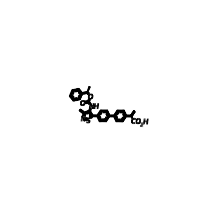 Cc1nsc(-c2ccc(-c3ccc([C@@H](C)C(=O)O)cc3)cc2)c1NC(=O)O[C@H](C)c1ccccc1